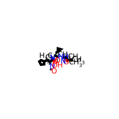 C[C@@H](C1CCCC1)[C@H](CN(O)C=O)C(=O)N(C)[C@@H](CC1(C)CC1)C(=O)Nc1cc(C(C)(C)C)on1